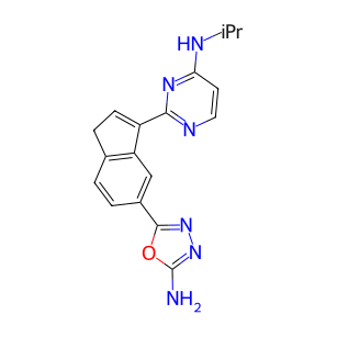 CC(C)Nc1ccnc(C2=CCc3ccc(-c4nnc(N)o4)cc32)n1